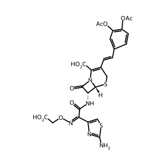 CC(=O)Oc1ccc(/C=C/C2=C(C(=O)O)N3C(=O)[C@@H](NC(=O)/C(=N\OCC(=O)O)c4csc(N)n4)[C@H]3SC2)cc1OC(C)=O